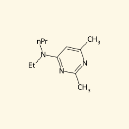 CCCN(CC)c1cc(C)nc(C)n1